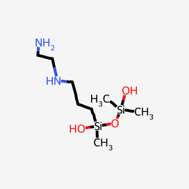 C[Si](C)(O)O[Si](C)(O)CCCNCCN